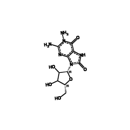 Nc1nc2c([nH]c(=O)n2[C@@H]2O[C@H](CO)C(O)C2O)c(=O)n1N